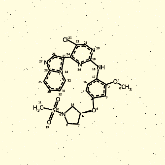 COc1cc(O[C@H]2CCN(S(C)(=O)=O)C2)ccc1Nc1ncc(Cl)c(-c2cnc3ccccn23)n1